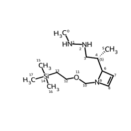 CNNC[C@H](C)C1C=CN1COCC[Si](C)(C)C